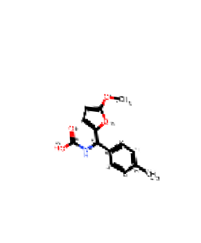 COc1ccc(C(NC(=O)O)c2ccc(C)cc2)o1